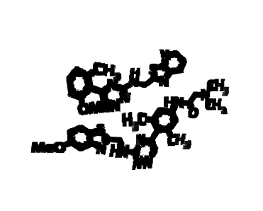 COc1ccc2sc(CNc3nncc(-c4c(C)cc(NC(=O)CN(C)C)cc4C)n3)nc2c1.COc1cccc(C)c1-c1cnnc(NCc2nc3cccnc3s2)n1